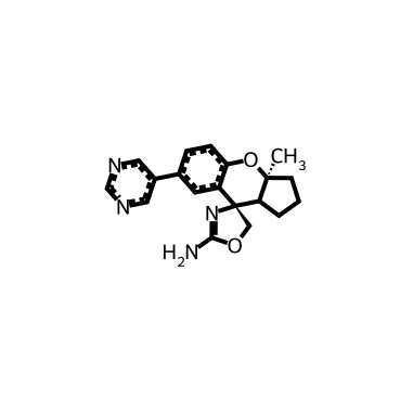 C[C@]12CCCC1[C@@]1(COC(N)=N1)c1cc(-c3cncnc3)ccc1O2